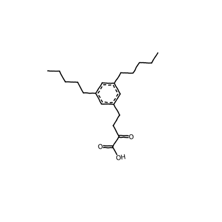 CCCCCc1cc(CCCCC)cc(CCC(=O)C(=O)O)c1